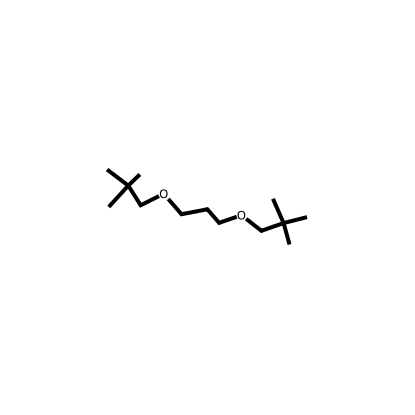 CC(C)(C)COCCCOCC(C)(C)C